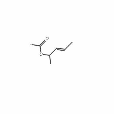 [CH2]C(=O)OC(C)C=CC